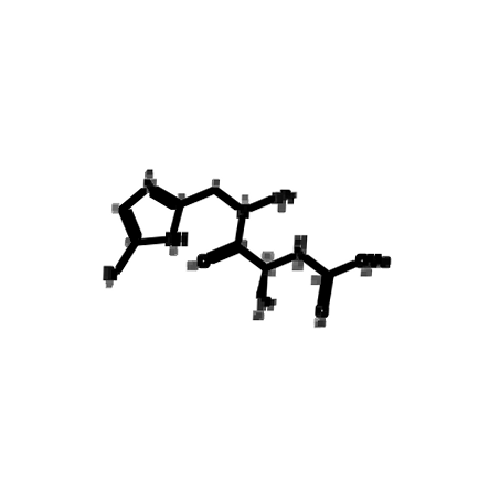 CCCN(Cc1ncc(Br)[nH]1)C(=O)[C@@H](NC(=O)OC)C(C)C